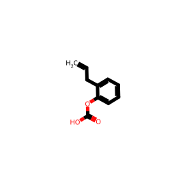 C=CCc1ccccc1OC(=O)O